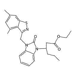 CCCC(CC(=O)OCC)n1c(=O)n(Cc2nsc3cc(C)cc(C)c23)c2ccccc21